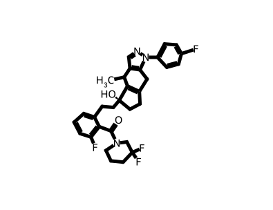 CC1C2=C(CC[C@@]2(O)CCc2cccc(F)c2C(=O)N2CCCC(F)(F)C2)Cc2c1cnn2-c1ccc(F)cc1